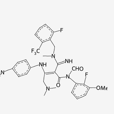 COc1cccc(N(C=O)C(=O)/C(C(=N)N(C)Cc2c(F)cccc2C(F)(F)F)=C(\CN(C)C)Nc2ccc(N)cc2)c1F